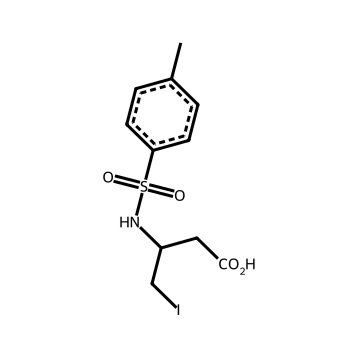 Cc1ccc(S(=O)(=O)NC(CI)CC(=O)O)cc1